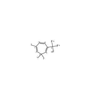 CC1=CC(C)(C)C=C(C(F)(F)F)C=C1